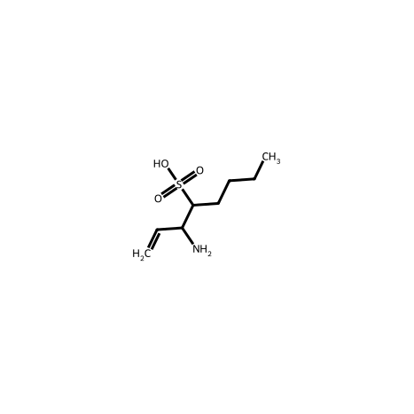 C=CC(N)C(CCCC)S(=O)(=O)O